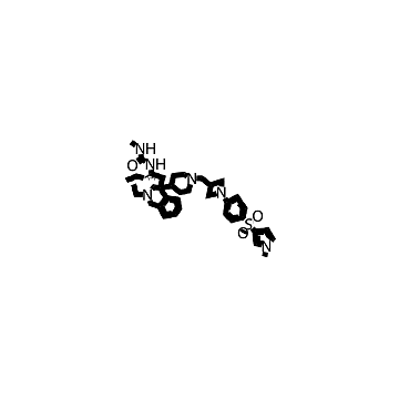 CCC[C@@H](CC1(C2CCN(CC3CN(c4ccc(S(=O)(=O)c5ccn(C)c5)cc4)C3)CC2)CN(CC)Cc2ccccc21)NC(=O)NC